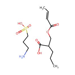 CC=CC(=O)OCC(CCC)C(=O)O.NCCCS(=O)(=O)O